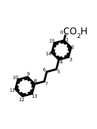 O=C(O)c1ccc(CCCc2ccccc2)cc1